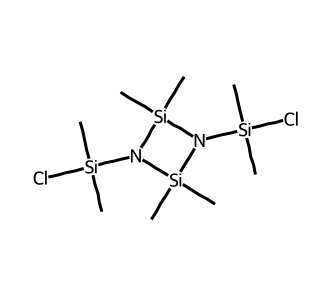 C[Si](C)(Cl)N1[Si](C)(C)N([Si](C)(C)Cl)[Si]1(C)C